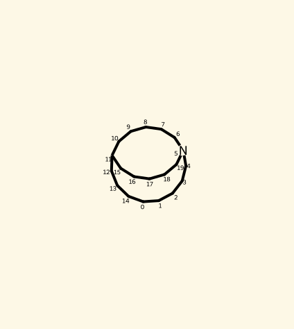 C1CCCCN2CCCCCC(CCC1)CCCCC2